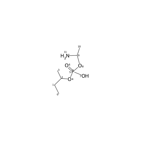 CCC(C)OP(=O)(O)OC(C)N